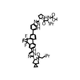 CC(C)CC(=O)N1CC2(CC2)C[C@H]1c1ncc(-c2ccc3c(c2)C(F)(F)C(F)(F)c2cc(-c4ccc5nc([C@@H]6CCCN6C(=O)[C@@H](NC(=O)OI)C(C)C)[nH]c5c4)ccc2-3)[nH]1